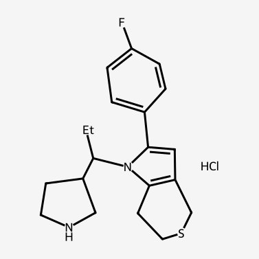 CCC(C1CCNC1)n1c(-c2ccc(F)cc2)cc2c1CCSC2.Cl